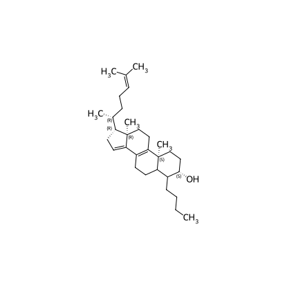 CCCCC1C2CCC3=C(CC[C@@]4(C)C3=CC[C@@H]4[C@H](C)CCC=C(C)C)[C@@]2(C)CC[C@@H]1O